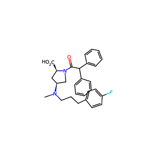 CN(CCCc1ccc(F)cc1)[C@H]1C[C@@H](C(=O)O)N(C(=O)C(c2ccccc2)c2ccccc2)C1